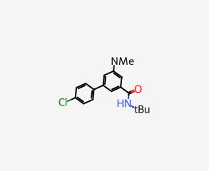 CNc1cc(C(=O)NC(C)(C)C)cc(-c2ccc(Cl)cc2)c1